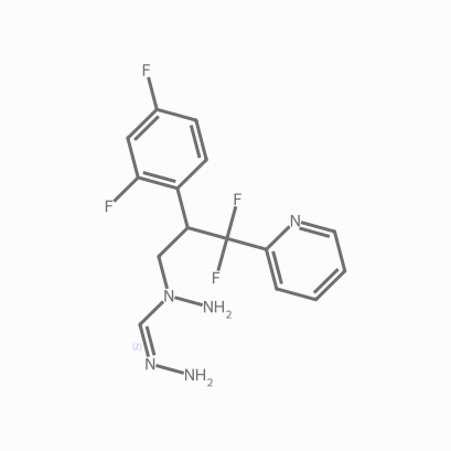 N/N=C\N(N)CC(c1ccc(F)cc1F)C(F)(F)c1ccccn1